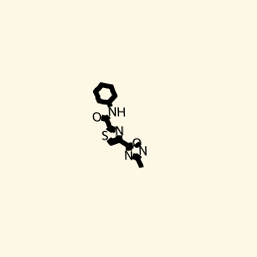 Cc1noc(-c2csc(C(=O)NC3CCCCC3)n2)n1